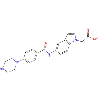 O=C(O)Cn1ccc2cc(NC(=O)c3ccc(N4CCNCC4)cc3)ccc21